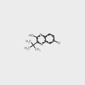 CC(C)(C)c1nc2cc(Cl)ccc2nc1O